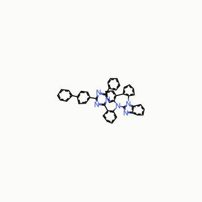 c1ccc(-c2ccc(-c3nc(-c4ccccc4)nc(-c4ccccc4N4c5ccccc5-c5ccccc5-n5c4nc4ccccc45)n3)cc2)cc1